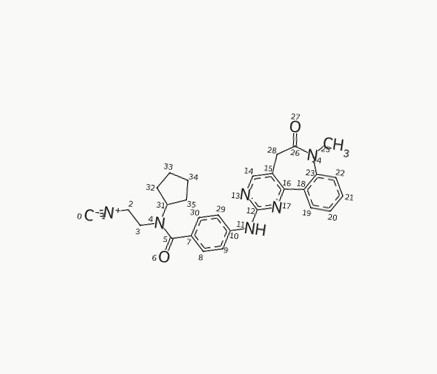 [C-]#[N+]CCN(C(=O)c1ccc(Nc2ncc3c(n2)-c2ccccc2N(C)C(=O)C3)cc1)C1CCCC1